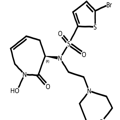 O=C1[C@H](N(CCN2CCOCC2)S(=O)(=O)c2ccc(Br)s2)CC=CCN1O